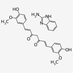 COc1cc(C=CC(=O)CC(=O)C=Cc2ccc(O)c(OC)c2)ccc1O.Nc1nc2ccccc2[nH]1